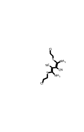 N#CC(=C(N)SCCCl)C(C#N)=C(N)SCCCl